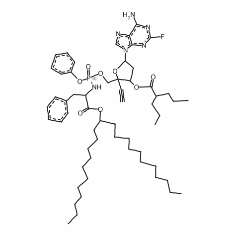 C#CC1(CO[P@@](=O)(NC(Cc2ccccc2)C(=O)OC(CCCCCCCCCCC)CCCCCCCCCCC)Oc2ccccc2)OC(n2cnc3c(N)nc(F)nc32)CC1OC(=O)C(CCC)CCC